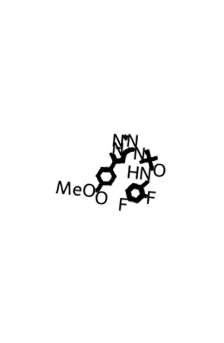 COC(=O)C1CC=C(c2cc3c(N4CC(C)(C(=O)NCc5ccc(F)cc5F)C4)ncnn3c2)CC1